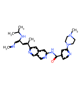 C=N/C=C(\C=C(/C)c1cc2cc(NC(=O)c3ccnc(N4CCN(C)CC4)c3)ncc2cn1)NC(C)C